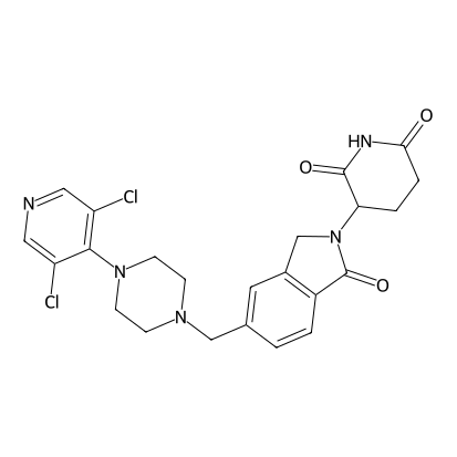 O=C1CCC(N2Cc3cc(CN4CCN(c5c(Cl)cncc5Cl)CC4)ccc3C2=O)C(=O)N1